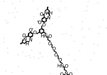 C=C1C[C@H]2C=Nc3cc(OCc4cc(CNC(=O)CCOCCOCCOCCOCCNC(=O)CCN5C(=O)C=CC5=O)cc(COc5cc6c(cc5OC)C(=O)N5CC(=C)C[C@H]5C=N6)c4)c(OC)cc3C(=O)N2C1